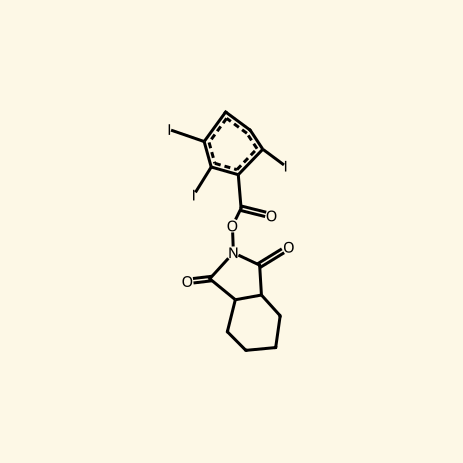 O=C(ON1C(=O)C2CCCCC2C1=O)c1c(I)ccc(I)c1I